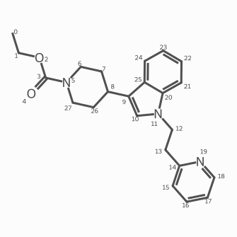 CCOC(=O)N1CCC(c2cn(CCc3ccccn3)c3ccccc23)CC1